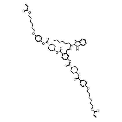 C=CC(=O)OCCCCCCOc1ccc(OC(=O)[C@H]2CC[C@H](OC(=O)c3ccc(OC(=O)[C@H]4CC[C@H](OC(=O)c5ccc(OCCCCCCOC(=O)C=C)cc5)CC4)cc3/C=N/N(CCCCCC)C3Nc4ccccc4S3)CC2)cc1